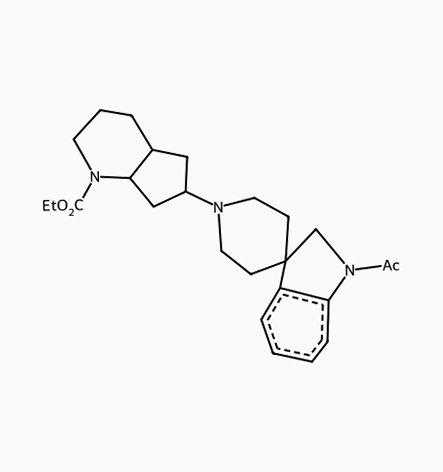 CCOC(=O)N1CCCC2CC(N3CCC4(CC3)CN(C(C)=O)c3ccccc34)CC21